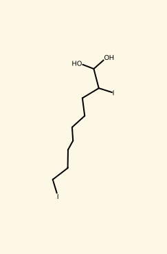 OC(O)C(I)CCCCCCCI